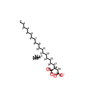 CCCCCCCCCCCCCCCCCCC(CC(=O)[O-])C(=O)[O-].[Na+].[Na+]